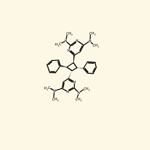 CN(C)c1cc([C@H]2[C@H](c3ccccc3)[C@H](c3cc(N(C)C)nc(N(C)C)n3)[C@H]2c2ccccc2)nc(N(C)C)n1